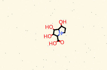 O=C(O)C1C(O)C(O)C2C(O)CCN12